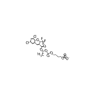 CC(OC(=O)OCCCCO[N+](=O)[O-])OC(=O)C1=Cc2cc(Cl)cc(Cl)c2OC1C(F)(F)F